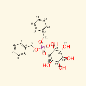 O=P(OCc1ccccc1)(OCc1ccccc1)O[C@H]1[C@H](O)[C@H](O)[C@H](O)[C@@H](O)[C@@H]1O